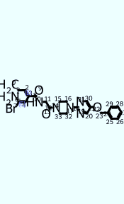 C=C/C=C(\C=C(/N)Br)C(=O)NCC(=O)N1CCN(c2ncc(OCc3ccccc3)cn2)CC1